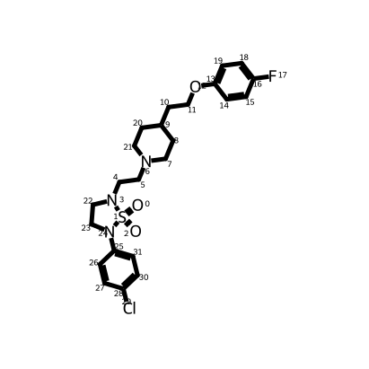 O=S1(=O)N(CCN2CCC(CCOc3ccc(F)cc3)CC2)CCN1c1ccc(Cl)cc1